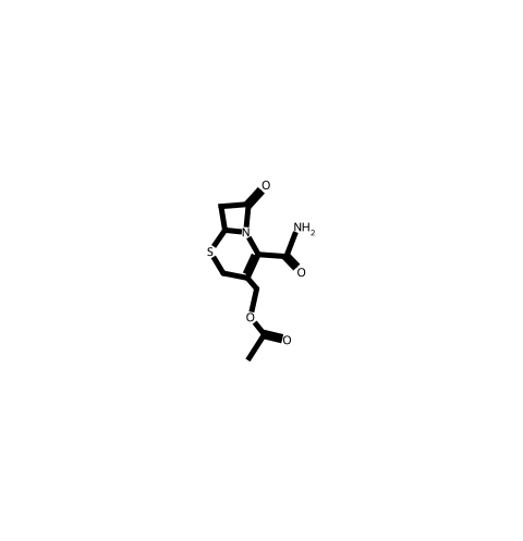 CC(=O)OCC1=C(C(N)=O)N2C(=O)CC2SC1